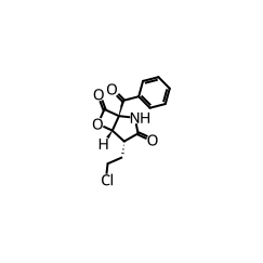 O=C1N[C@@]2(C(=O)c3ccccc3)C(=O)O[C@H]2[C@H]1CCCl